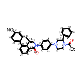 CCC(=O)N1CCN(c2ccc(-n3cc(C)c4c(-c5ccc(C#N)cc5)cccc4c3=O)cc2)CC1c1ccccc1